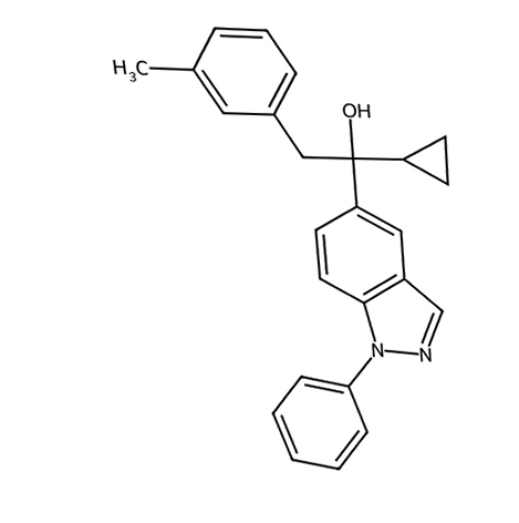 Cc1cccc(CC(O)(c2ccc3c(cnn3-c3ccccc3)c2)C2CC2)c1